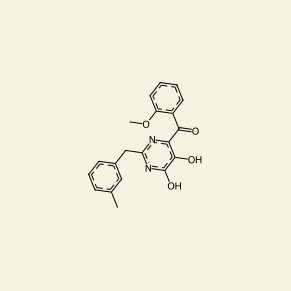 COc1ccccc1C(=O)c1nc(Cc2cccc(C)c2)nc(O)c1O